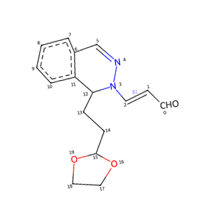 O=C/C=C/N1N=Cc2ccccc2C1CCC1OCCO1